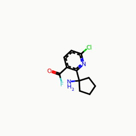 NC1(c2nc(Cl)ccc2C(=O)F)CCCC1